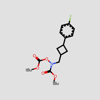 CC(C)(C)OC(=O)ON(CC1CC(c2ccc(F)cc2)C1)C(=O)OC(C)(C)C